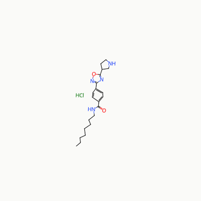 CCCCCCCCNC(=O)c1ccc(-c2noc(C3CCNC3)n2)cc1.Cl